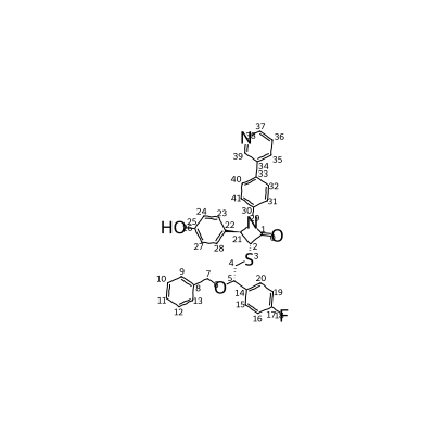 O=C1[C@H](SC[C@@H](OCc2ccccc2)c2ccc(F)cc2)[C@@H](c2ccc(O)cc2)N1c1ccc(-c2cccnc2)cc1